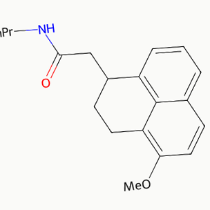 CCCNC(=O)CC1CCc2c(OC)ccc3cccc1c23